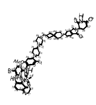 CCc1cc(Nc2ncc(Br)c(Nc3ccc4nccnc4c3NS(C)(=O)=O)n2)c(OC)cc1N1CCC(N2CCN(CC3CC4(CCN(c5ccc6c(c5)CN(C5CCC(=O)NC5=O)C6=O)CC4)C3)CC2)CC1